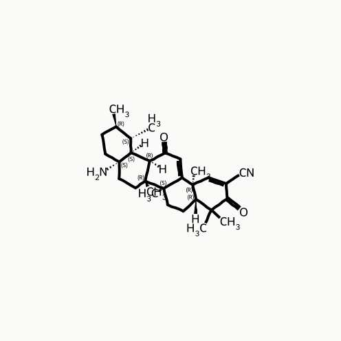 C[C@@H]1[C@H]2[C@H]3C(=O)C=C4[C@@]5(C)C=C(C#N)C(=O)C(C)(C)[C@@H]5CC[C@@]4(C)[C@]3(C)CC[C@@]2(N)CC[C@H]1C